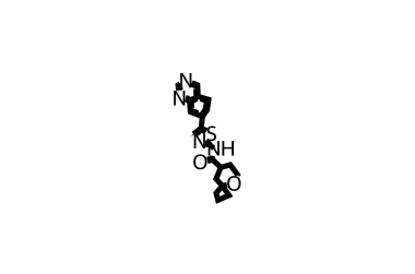 O=C(Nc1ncc(-c2ccc3cncnc3c2)s1)C1CCOC2(CCC2)C1